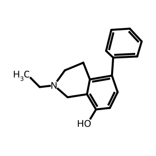 CCN1CCc2c(-c3ccccc3)ccc(O)c2C1